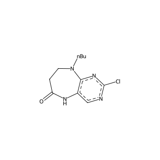 CCCCN1CCC(=O)Nc2cnc(Cl)nc21